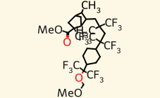 COCOC(C1CCC(C(CC(C)(CC2C(C)C3CC2C(C(=O)OC)(C(F)(F)F)C3)C(F)(F)F)(C(F)(F)F)C(F)(F)F)CC1)(C(F)(F)F)C(F)(F)F